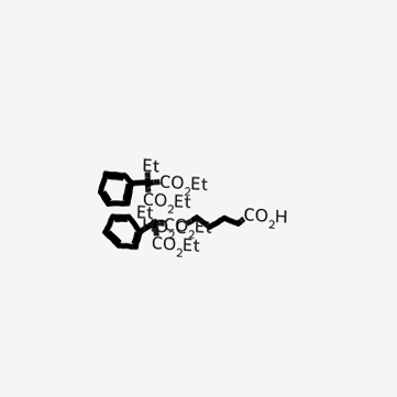 CCOC(=O)C(CC)(C(=O)OCC)c1ccccc1.CCOC(=O)C(CC)(C(=O)OCC)c1ccccc1.O=C(O)CCCCC(=O)O